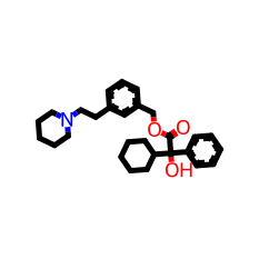 O=C(OCc1cccc(CCN2CCCCC2)c1)C(O)(c1ccccc1)C1CCCCC1